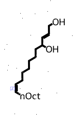 CCCCCCCC/C=C\CCCCCCC(O)C=CCO